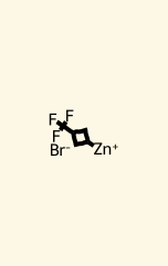 FC(F)(F)C1C[CH]([Zn+])C1.[Br-]